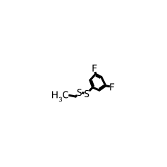 CCSSc1cc(F)cc(F)c1